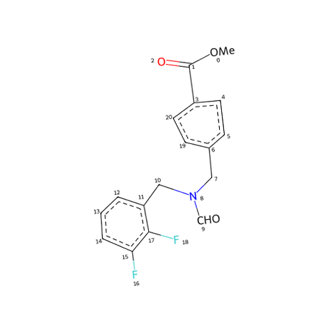 COC(=O)c1ccc(CN(C=O)Cc2cccc(F)c2F)cc1